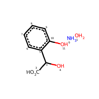 N.O.O=C(O)C(O)c1ccccc1O